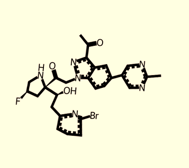 CC(=O)c1nn(CC(=O)[C@@]2([C@@H](O)Cc3cccc(Br)n3)C[C@@H](F)CN2)c2ccc(-c3cnc(C)nc3)cc12